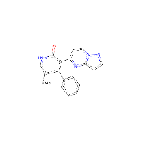 COc1c[nH]c(=O)c(-c2ccn3nccc3n2)c1-c1ccccc1